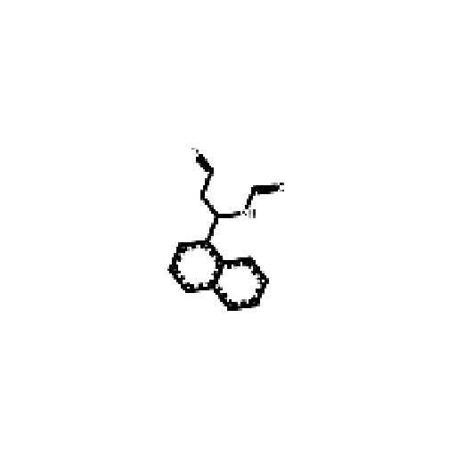 O=CCC(NC=O)c1cccc2ccccc12